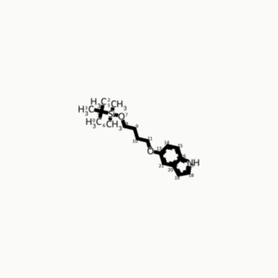 CC(C)(C)[Si](C)(C)OCCCCOc1ccc2[nH]ccc2c1